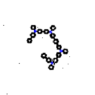 CC1(N(C2=CCCC=C2)c2ccc(-c3ccccc3)cc2)C=CC(c2ccc(N(c3ccccc3)c3ccc(-c4ccc(-c5ccc(N(c6ccccc6)c6ccc(-c7ccc(N(c8ccccc8)c8ccc(-c9ccccc9)cc8)cc7)cc6)cc5)cc4)cc3)cc2)CC1